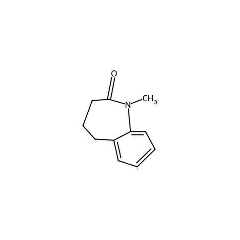 CN1C(=O)CCCc2c[c]ccc21